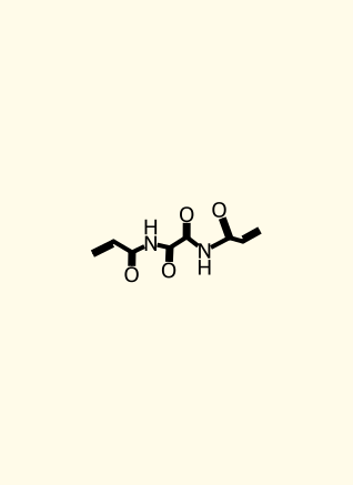 C=CC(=O)NC(=O)C(=O)NC(=O)C=C